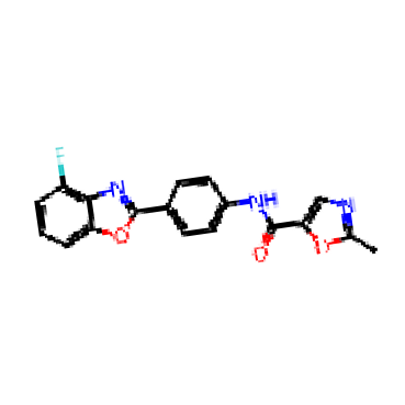 Cc1ncc(C(=O)Nc2ccc(-c3nc4c(F)cccc4o3)cc2)o1